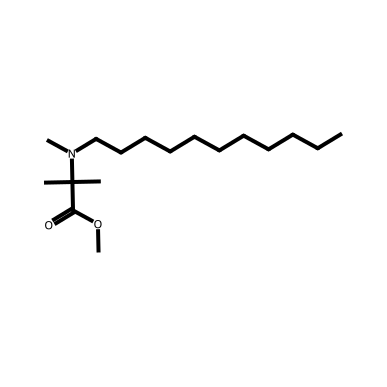 CCCCCCCCCCCN(C)C(C)(C)C(=O)OC